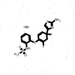 Br.CS(=O)(=O)Nc1ccccc1SC1=C(F)CC(F)(c2csc(N)n2)C=C1